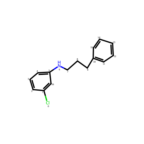 Clc1cccc(NCCCc2ccccc2)c1